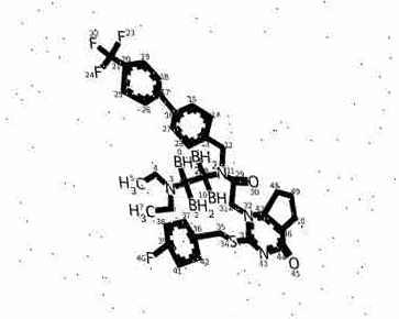 BC(B)(N(CC)CC)C(B)(B)N(Cc1ccc(-c2ccc(C(F)(F)F)cc2)cc1)C(=O)Cn1c(SCc2ccc(F)cc2)nc(=O)c2c1CCC2